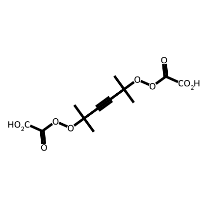 CC(C)(C#CC(C)(C)OOC(=O)C(=O)O)OOC(=O)C(=O)O